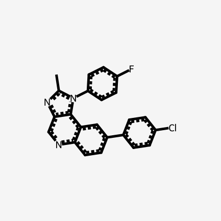 Cc1nc2cnc3ccc(-c4ccc(Cl)cc4)cc3c2n1-c1ccc(F)cc1